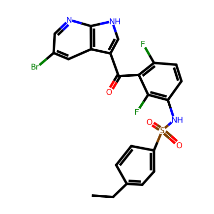 CCc1ccc(S(=O)(=O)Nc2ccc(F)c(C(=O)c3c[nH]c4ncc(Br)cc34)c2F)cc1